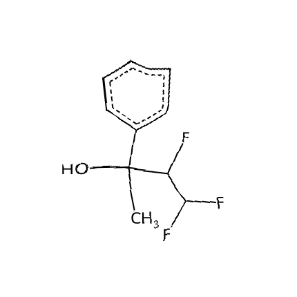 CC(O)(c1ccccc1)C(F)C(F)F